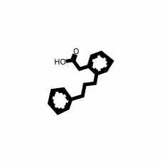 O=C(O)Cc1ccccc1CCCc1ccccc1